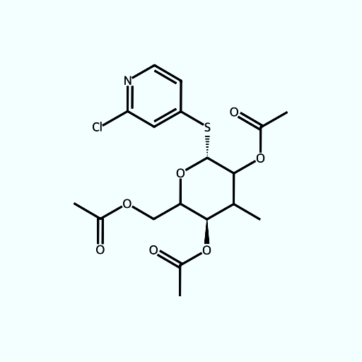 CC(=O)OCC1O[C@H](Sc2ccnc(Cl)c2)C(OC(C)=O)C(C)[C@H]1OC(C)=O